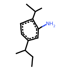 CCC(C)c1ccc(C(C)C)c(N)c1